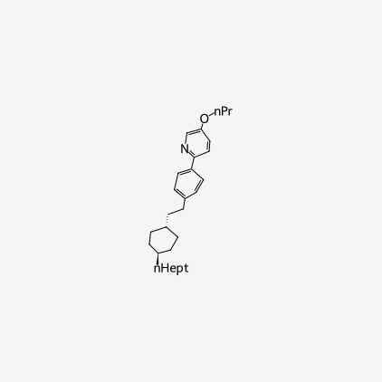 CCCCCCC[C@H]1CC[C@H](CCc2ccc(-c3ccc(OCCC)cn3)cc2)CC1